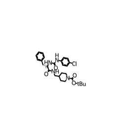 CC(C)(C)OC(=O)N1CCC(CNC(=O)[C@H](Cc2ccccc2)NC(=O)Nc2ccc(Cl)cc2)CC1